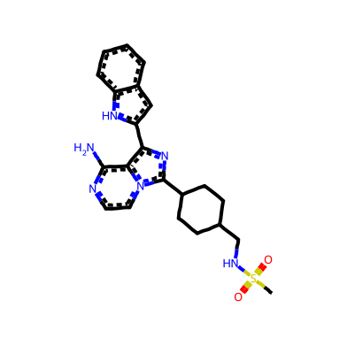 CS(=O)(=O)NCC1CCC(c2nc(-c3cc4ccccc4[nH]3)c3c(N)nccn23)CC1